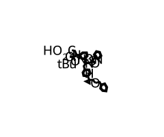 CC(C)(C)OC(=O)N(CC(=O)O)c1cccc(C(Cc2ccc(C3(COCc4ccccc4)CC3)cc2)NS(=O)(=O)c2ccccn2)n1